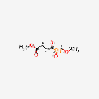 COC[PH](=O)C(=O)CCC(=O)OC